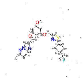 COc1cc(OCc2csc(-c3ccc(C(C)(C)F)cc3)n2)c2cc(-c3cn4nc(C)ccc4n3)oc2c1